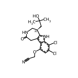 CC(C)(O)C[C@@H]1CNC(=O)Cc2c1[nH]c1c(Cl)c(Cl)cc(OCC#N)c21